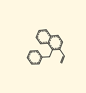 C=Cc1ccc2ccccc2c1Cc1ccccc1